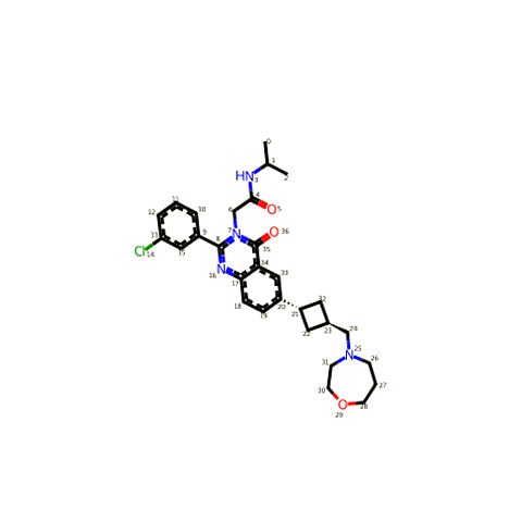 CC(C)NC(=O)Cn1c(-c2cccc(Cl)c2)nc2ccc([C@H]3C[C@H](CN4CCCOCC4)C3)cc2c1=O